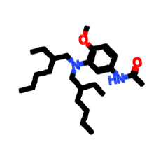 CCCCC(CC)CN(CC(CC)CCCC)c1cc(NC(C)=O)ccc1OC